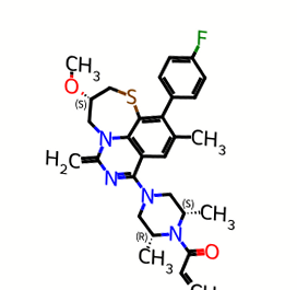 C=CC(=O)N1[C@H](C)CN(C2=NC(=C)N3C[C@H](OC)CSc4c(-c5ccc(F)cc5)c(C)cc2c43)C[C@@H]1C